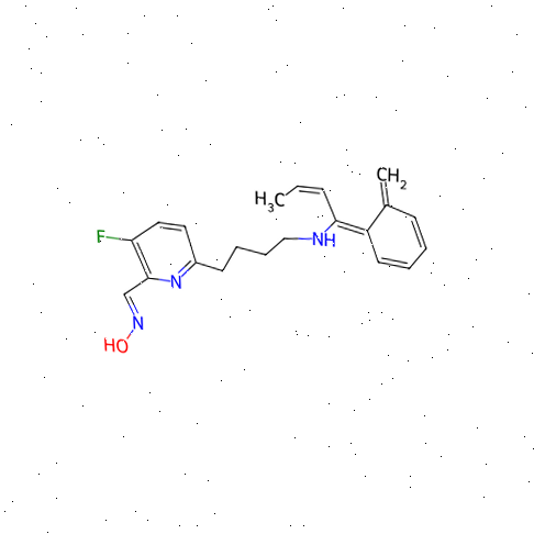 C=c1cccc/c1=C(/C=C\C)NCCCCc1ccc(F)c(/C=N/O)n1